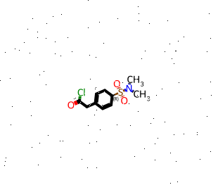 CN(C)S(=O)(=O)[C@H]1C=CC(CC(=O)Cl)=CC1